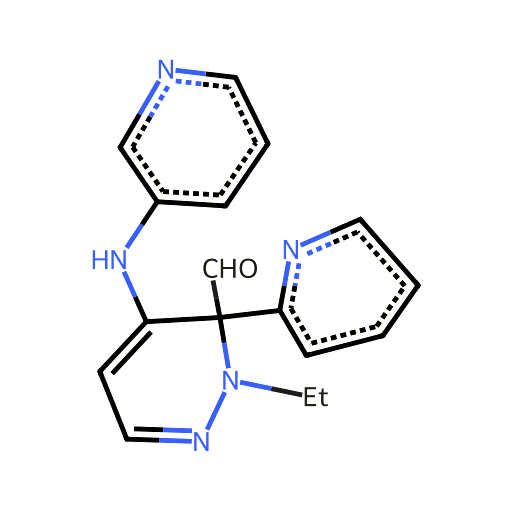 CCN1N=CC=C(Nc2cccnc2)C1(C=O)c1ccccn1